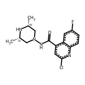 C[C@@H]1CN(NC(=O)c2cc(Cl)nc3ccc(F)cc23)C[C@H](C)N1